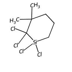 CC1(C)CCC[Si](Cl)(Cl)C1(Cl)Cl